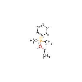 CCO[PH](C)(C)c1ccccc1